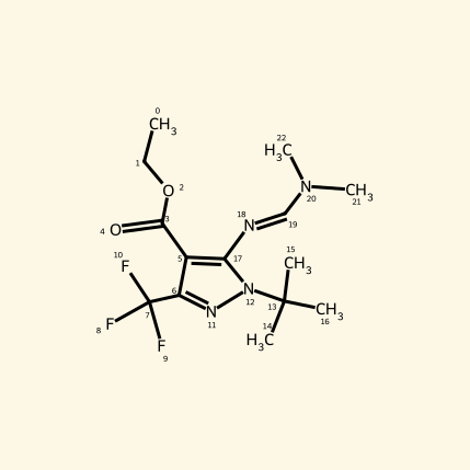 CCOC(=O)c1c(C(F)(F)F)nn(C(C)(C)C)c1/N=C/N(C)C